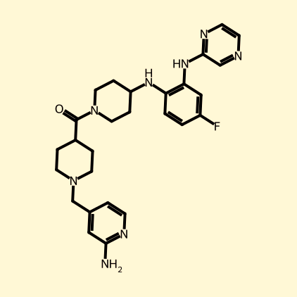 Nc1cc(CN2CCC(C(=O)N3CCC(Nc4ccc(F)cc4Nc4cnccn4)CC3)CC2)ccn1